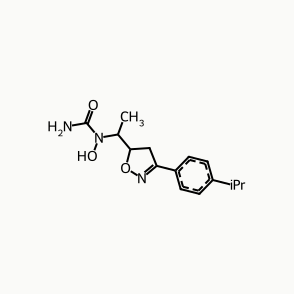 CC(C)c1ccc(C2=NOC(C(C)N(O)C(N)=O)C2)cc1